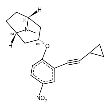 CN1[C@@H]2CC[C@H]1C[C@@H](Oc1ccc([N+](=O)[O-])cc1C#CC1CC1)C2